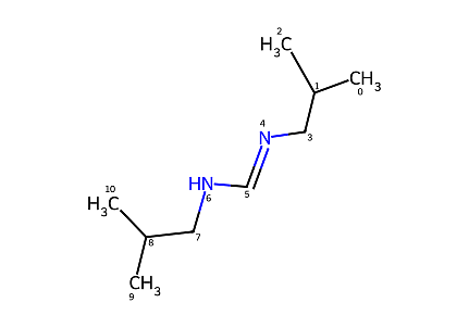 CC(C)CN=CNCC(C)C